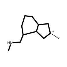 CNCC1CCCC2C[C@H](C)CC12